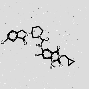 CC(C)n1c(=O)n(CC2CC2)c(=O)c2cc(NC(=O)N3CCC[C@@H](N4Cc5ccc(Cl)cc5C4=O)C3)c(F)cc21